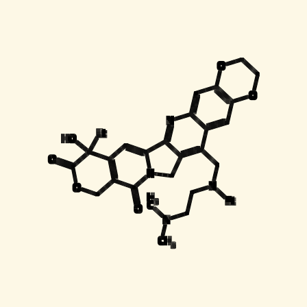 CCN(CCN(C)C)Cc1c2c(nc3cc4c(cc13)OCCO4)-c1cc3c(c(=O)n1C2)COC(=O)C3(O)CC